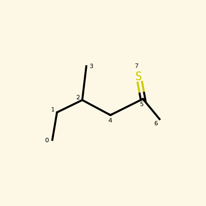 CCC(C)CC(C)=S